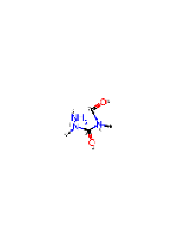 CN(N)C(=O)N(C)C=O